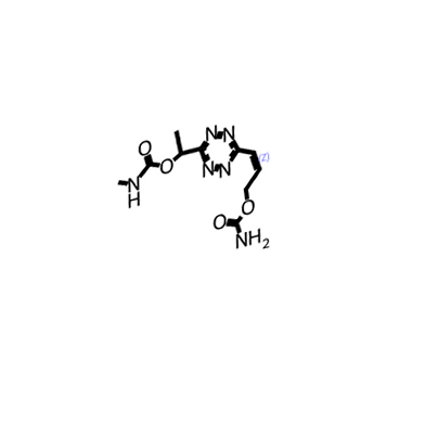 CNC(=O)OC(C)c1nnc(/C=C\COC(N)=O)nn1